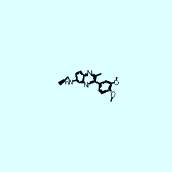 C#CCNc1ccc2nc(C)c(-c3ccc(OC)c(OC)c3)nc2c1